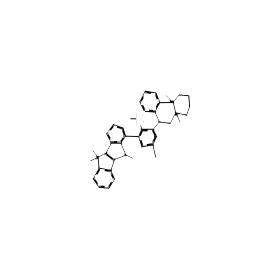 CB1c2cccc3c2C(CC2(C)CCCCC32C)c2cc(C)cc(-c3cccc4c3C(C)C3=C4C(C)(C)c4ccccc43)c21